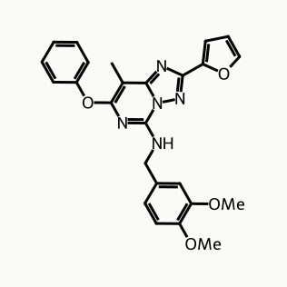 COc1ccc(CNc2nc(Oc3ccccc3)c(C)c3nc(-c4ccco4)nn23)cc1OC